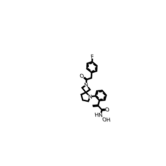 C=C(C(=O)NO)c1ccccc1N1CCCC12CN(C(=O)Cc1ccc(F)cc1)C2